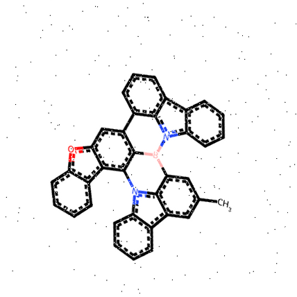 Cc1cc2c3c(c1)c1ccccc1n3-c1c3c(cc4oc5ccccc5c14)-c1cccc4c5ccccc5n(c14)B32